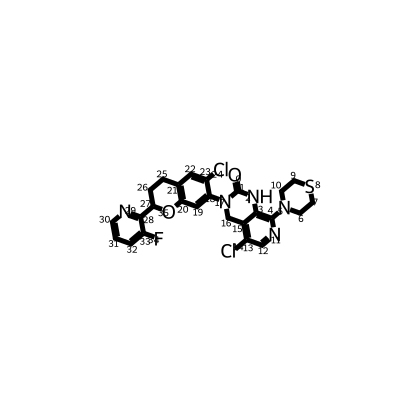 O=C1Nc2c(N3CCSCC3)ncc(Cl)c2CN1c1cc2c(cc1Cl)CCC(c1ncccc1F)O2